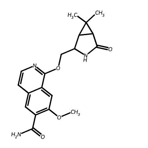 COc1cc2c(OCC3NC(=O)C4C3C4(C)C)nccc2cc1C(N)=O